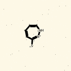 [S]C1=NNC=CC=C1